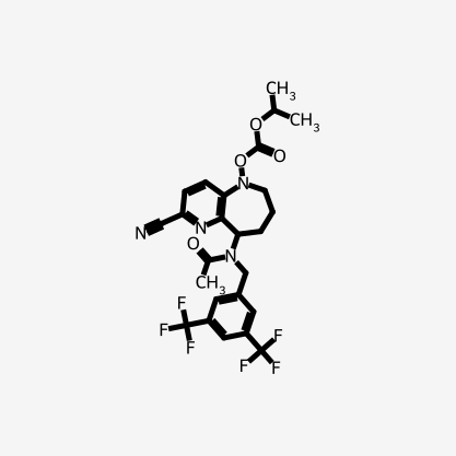 CC(=O)N(Cc1cc(C(F)(F)F)cc(C(F)(F)F)c1)C1CCCN(OC(=O)OC(C)C)c2ccc(C#N)nc21